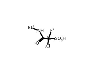 CCNC(=O)C(F)(Cl)S(=O)(=O)O